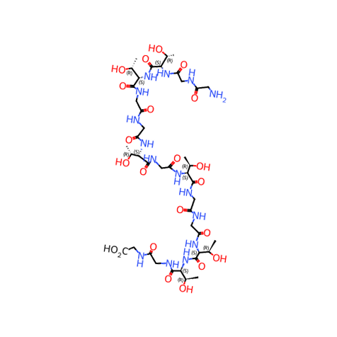 C[C@@H](O)[C@H](NC(=O)CNC(=O)CNC(=O)[C@@H](NC(=O)[C@@H](NC(=O)CNC(=O)CN)[C@@H](C)O)[C@@H](C)O)C(=O)NCC(=O)N[C@H](C(=O)NCC(=O)NCC(=O)N[C@H](C(=O)N[C@H](C(=O)NCC(=O)NCC(=O)O)[C@@H](C)O)[C@@H](C)O)[C@@H](C)O